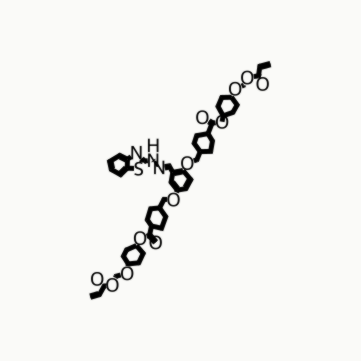 C=CC(=O)OCOC1CCC(OC(=O)C2CCC(COc3ccc(OCC4CCC(C(=O)OC5CCC(OCOC(=O)C=C)CC5)CC4)c(/C=N/Nc4nc5ccccc5s4)c3)CC2)CC1